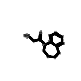 CCC(=O)N1CCCCc2ccccc21